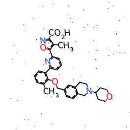 Cc1cccc(-c2cccc(-c3onc(C(=O)O)c3C)n2)c1OCc1ccc2c(c1)CCN(C1CCOCC1)C2